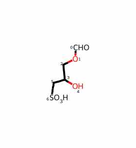 O=COCC(O)CS(=O)(=O)O